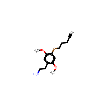 C#CCCCSc1cc(OC)c(CCN)cc1OC